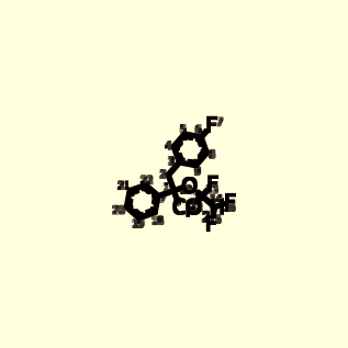 O=C(O)C(Cc1ccc(F)cc1)(OC(F)(F)C(F)F)c1ccccc1